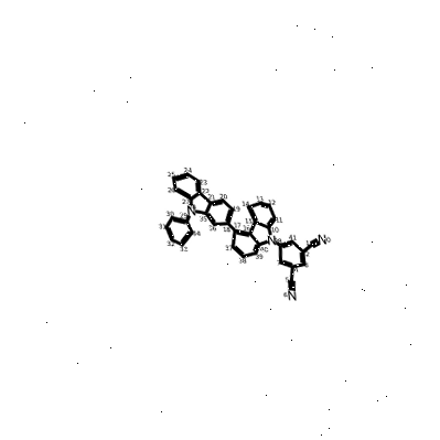 N#Cc1cc(C#N)cc(-n2c3ccccc3c3c(-c4ccc5c6ccccc6n(-c6ccccc6)c5c4)cccc32)c1